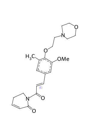 COc1cc(/C=C/C(=O)N2CCC=CC2=O)cc(C)c1OCCN1CCOCC1